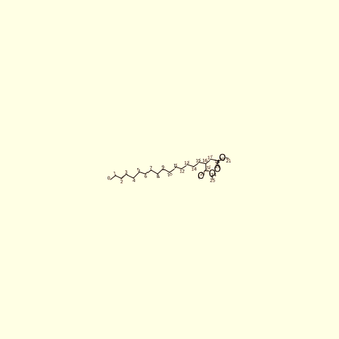 CCCCCCCCCCCCCCCCC(CC(=O)OC)C(=O)OC